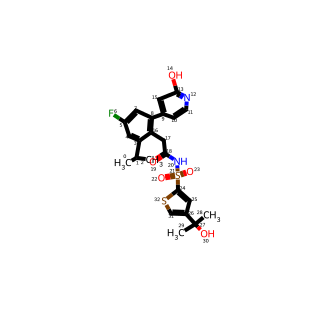 CC(C)c1cc(F)cc(-c2ccnc(O)c2)c1CC(=O)NS(=O)(=O)c1cc(C(C)(C)O)cs1